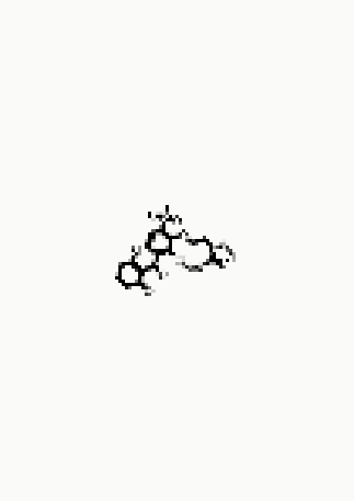 CSc1nnnn1CCOc1c(S(C)(=O)=O)ccc(C(=O)C2=C(Cl)CCCC2=O)c1Cl